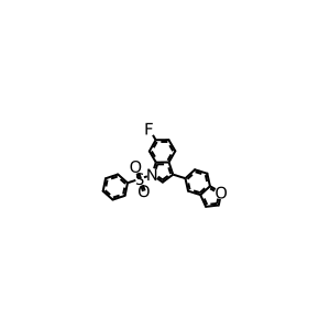 O=S(=O)(c1ccccc1)n1cc(-c2ccc3occc3c2)c2ccc(F)cc21